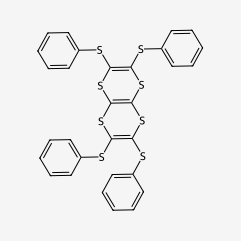 c1ccc(Sc2sc3sc(Sc4ccccc4)c(Sc4ccccc4)sc=3sc2Sc2ccccc2)cc1